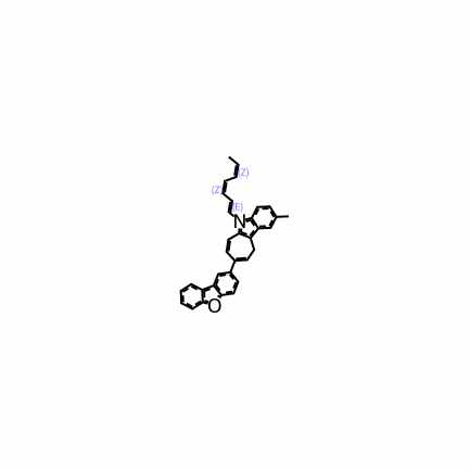 C\C=C/C=C\C=C\n1c2c(c3cc(C)ccc31)CC=C(c1ccc3oc4ccccc4c3c1)C=C2